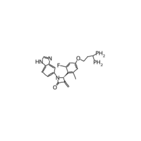 C=C1C(=O)N(c2ccc3[nH]cnc3c2)[C@H]1c1c(C)cc(OCCC(P)P)cc1F